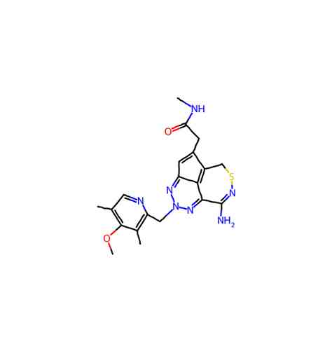 CNC(=O)Cc1cc2nn(Cc3ncc(C)c(OC)c3C)nc3c-2c1CSN=C3N